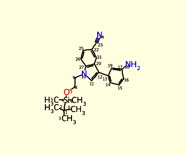 CC(C)(C)[Si](C)(C)OCCn1cc(-c2cccc(N)c2)c2cc(C#N)ccc21